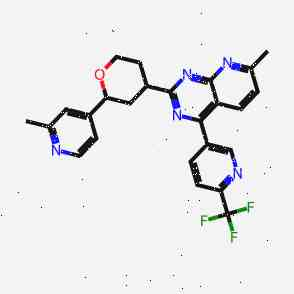 Cc1cc(C2CC(c3nc(-c4ccc(C(F)(F)F)nc4)c4ccc(C)nc4n3)CCO2)ccn1